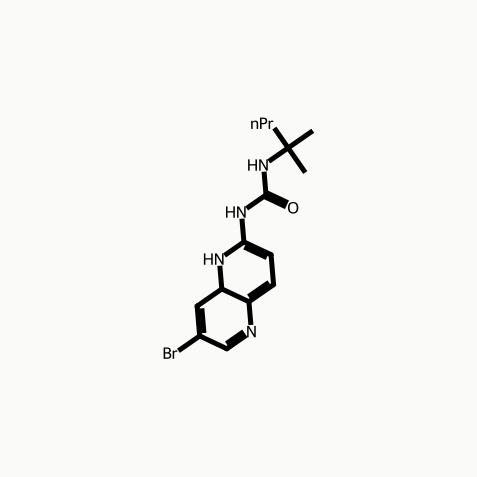 CCCC(C)(C)NC(=O)NC1=CC=C2N=CC(Br)=CC2N1